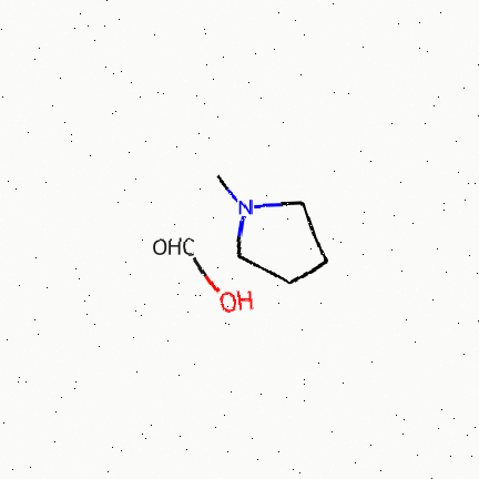 CN1CCCC1.O=CO